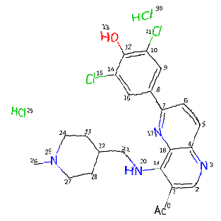 CC(=O)c1cnc2ccc(-c3cc(Cl)c(O)c(Cl)c3)nc2c1NCC1CCN(C)CC1.Cl.Cl